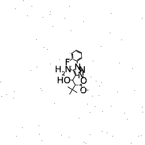 COC(=O)C(C(O)c1nnn(-c2ccccc2F)c1N)C(C)(C)C